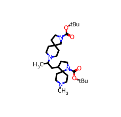 CC(CC1CCN(C(=O)OC(C)(C)C)C12CCN(C)CC2)N1CCC2(CCN(C(=O)OC(C)(C)C)C2)CC1